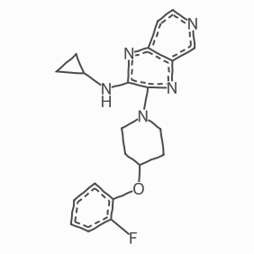 Fc1ccccc1OC1CCN(c2nc3cnccc3nc2NC2CC2)CC1